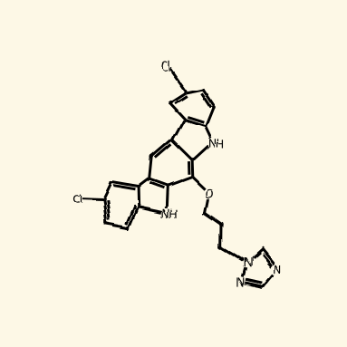 Clc1ccc2[nH]c3c(OCCCn4cncn4)c4[nH]c5ccc(Cl)cc5c4cc3c2c1